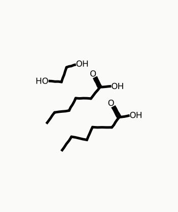 CCCCCC(=O)O.CCCCCC(=O)O.OCCO